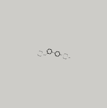 CN1CCN(c2ccc(-c3cccc(CN4CCOCC4)c3)cc2)CC1